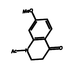 COc1ccc2c(c1)N(C(C)=O)CCC2=O